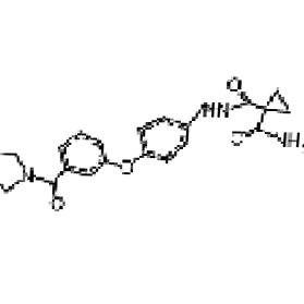 NC(=O)C1(C(=O)NCc2ccc(Oc3cccc(C(=O)N4CCCC4)c3)cc2)CC1